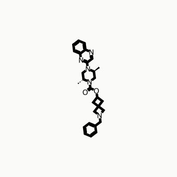 C[C@@H]1CN(c2cnc3ccccc3n2)[C@@H](C)CN1C(=O)OC1CC2(C1)CN(Cc1ccccc1)C2